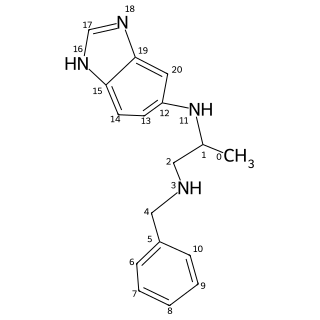 CC(CNCc1ccccc1)Nc1ccc2[nH]cnc2c1